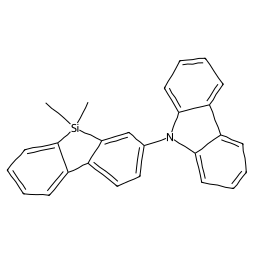 C[Si]1(C)c2ccccc2-c2ccc(-n3c4ccccc4c4ccccc43)cc21